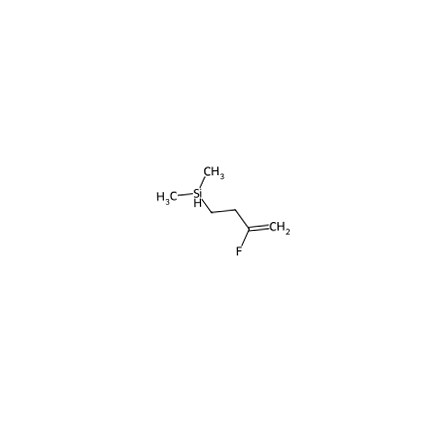 C=C(F)CC[SiH](C)C